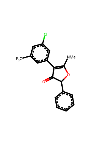 CNC1=C(c2cc(Cl)cc(C(F)(F)F)c2)C(=O)C(c2ccccc2)O1